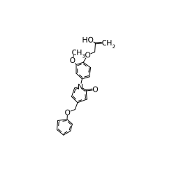 C=C(O)COc1ccc(-n2ccc(COc3ccccc3)cc2=O)cc1OC